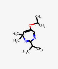 CC(C)OC1=CC(C)(C)N=C(C(C)C)N=C1